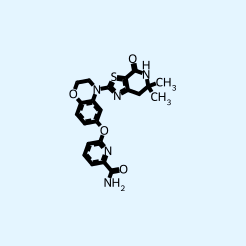 CC1(C)Cc2nc(N3CCOc4ccc(Oc5cccc(C(N)=O)n5)cc43)sc2C(=O)N1